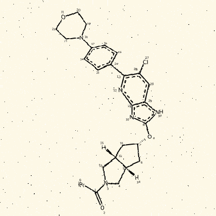 CC(C)C(=O)N1C[C@H]2C[C@@H](Oc3nc4nc(-c5ccc(N6CCOCC6)cc5)c(Cl)cc4[nH]3)C[C@H]2C1